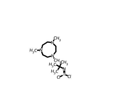 CC(C)(C)[N]=[Ti]([Cl])[Cl].CN1CCN(C)CCN(C)CC1